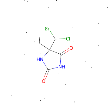 CCC1(C(Cl)Br)NC(=O)NC1=O